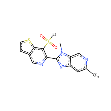 CCS(=O)(=O)c1c(-c2nc3cc(C(F)(F)F)ncc3n2C)ncc2ccsc12